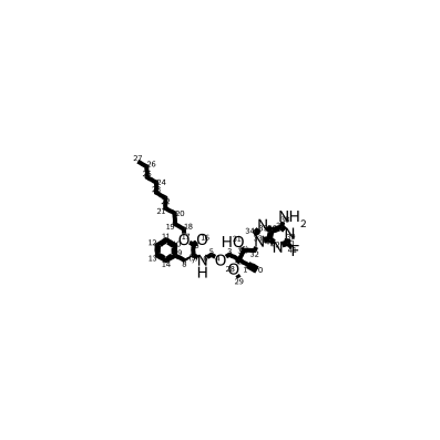 C#CC(COCN[C@@H](Cc1ccccc1)C(=O)OCCCCCCCCCC)(OC)[C@@H](O)Cn1cnc2c(N)nc(F)nc21